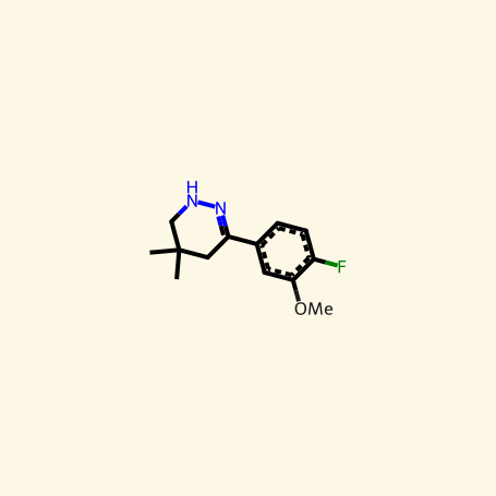 COc1cc(C2=NNCC(C)(C)C2)ccc1F